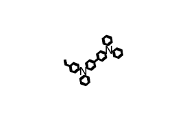 C=Cc1ccc(N(c2ccccc2)c2ccc(-c3ccc(N(c4ccccc4)c4ccccc4)cc3)cc2)cc1